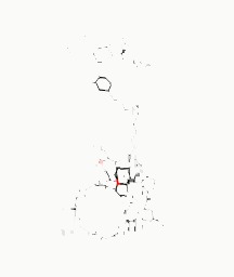 CC[C@H](C)[C@@H]1NC(=O)CNC(=O)[C@@H]2Cc3c([nH]c4cc(OCCCCCCN(C)C(=O)OCc5ccc(O[C@@H]6O[C@H](C(=O)OC)[C@@H](OC(C)=O)[C@H](OC(C)=O)[C@H]6OC(C)=O)c(C(=O)O)c5)ccc34)[S+]([O-])C[C@H](NC(=O)CNC1=O)C(=O)NC(CC(N)=O)C(=O)N1C[C@H](O)C[C@H]1C(=O)N[C@@H]([C@@H](C)[C@@H](O)CO)C(=O)N2